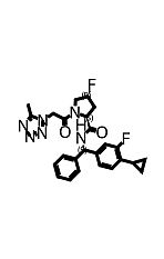 Cc1nnnn1CC(=O)N1C[C@H](F)C[C@H]1C(=O)N[C@@H](c1ccccc1)c1ccc(C2CC2)c(F)c1